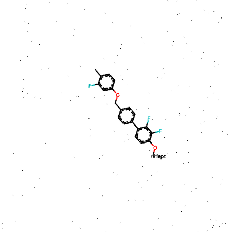 CCCCCCCOc1ccc(-c2ccc(COc3ccc(C)c(F)c3)cc2)c(F)c1F